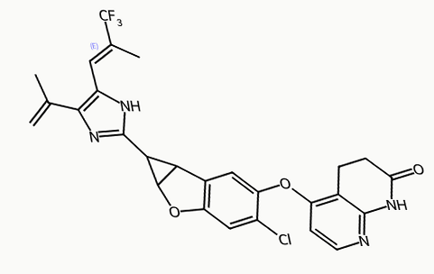 C=C(C)c1nc(C2C3Oc4cc(Cl)c(Oc5ccnc6c5CCC(=O)N6)cc4C32)[nH]c1/C=C(\C)C(F)(F)F